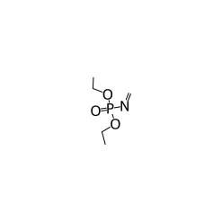 C=NP(=O)(OCC)OCC